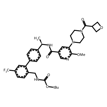 COc1ncc(C(=O)N[C@H](C)c2ccc(-c3cc(C(F)(F)F)ccc3CNC(=O)OC(C)(C)C)cc2)cc1N1CCN(C(=O)C2COC2)CC1